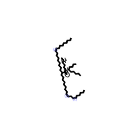 CCCCC/C=C\C/C=C\CCCCCCCCC(CCCCCCCC/C=C\CCCCCCCC)C(=O)N(CCCN(C)C)C(CCCC)CCCCC